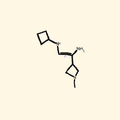 CN1CC(/C(N)=C/NC2CCC2)C1